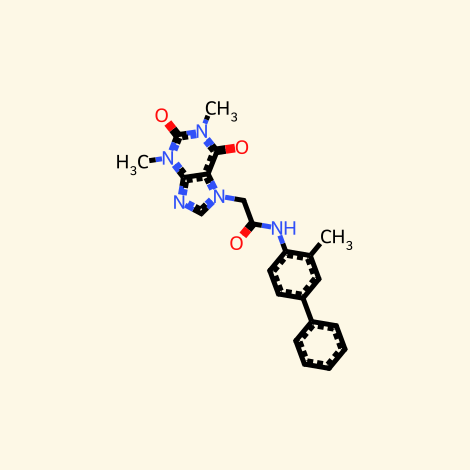 Cc1cc(-c2ccccc2)ccc1NC(=O)Cn1cnc2c1c(=O)n(C)c(=O)n2C